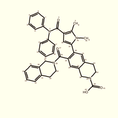 Cc1c(C(=O)N(c2ccccc2)c2ccccc2)cc(-c2cc3c(cc2C(=O)N2CCc4ccccc4C2)CN(C(=O)O)CC3)n1C